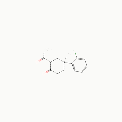 COC(=O)C1CC(C#N)(c2ccccc2Cl)CCC1=O